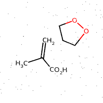 C1COOC1.C=C(C)C(=O)O